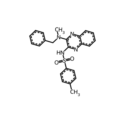 Cc1ccc(S(=O)(=O)Nc2nc3ccccc3nc2N(C)Cc2ccccc2)cc1